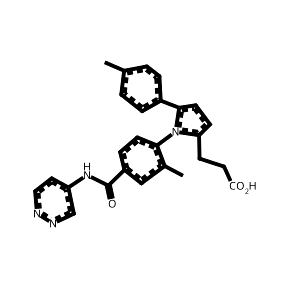 Cc1ccc(-c2ccc(CCC(=O)O)n2-c2ccc(C(=O)Nc3ccnnc3)cc2C)cc1